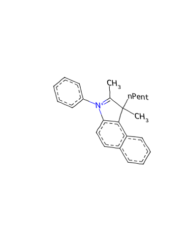 CCCCCC1(C)C(C)=[N+](c2ccccc2)c2ccc3ccccc3c21